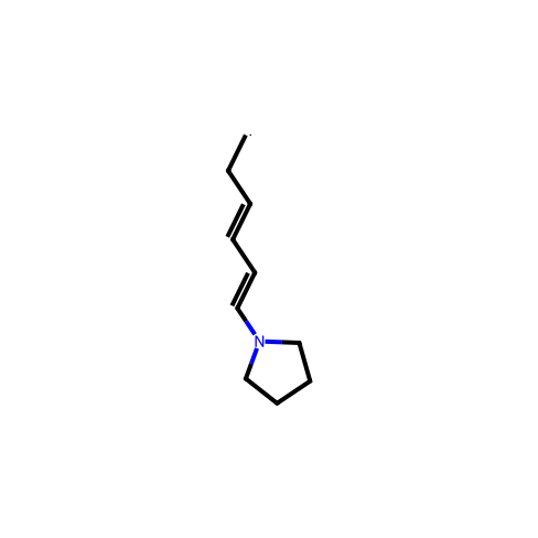 [CH2]C/C=C/C=C/N1CCCC1